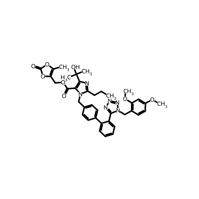 CCCc1nc(C(C)(C)O)c(C(=O)OCc2oc(=O)oc2C)n1Cc1ccc(-c2ccccc2-c2nnnn2Cc2ccc(OC)cc2OC)cc1